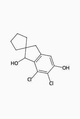 Oc1cc2c(c(Cl)c1Cl)C(O)C1(CCCC1)C2